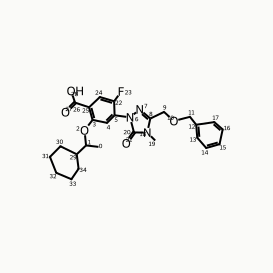 CC(Oc1cc(-n2nc(COCc3ccccc3)n(C)c2=O)c(F)cc1C(=O)O)C1CCCCC1